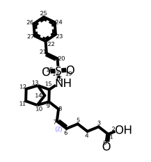 O=C(O)CCC/C=C\CC1C2CCC(C2)C1NS(=O)(=O)C=Cc1ccccc1